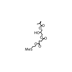 C=C(C)C(=O)OCC(O)COC(=O)CCC(=O)OCCSC